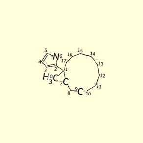 CC1(C2=CC=C[N]2)CCCCCCCCCCC1